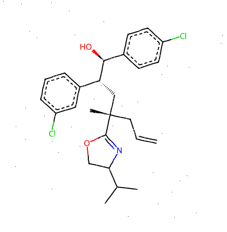 C=CC[C@@](C)(C[C@H](c1cccc(Cl)c1)[C@@H](O)c1ccc(Cl)cc1)C1=NC(C(C)C)CO1